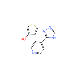 Oc1ccsc1.c1cc(-c2nnc[nH]2)ccn1